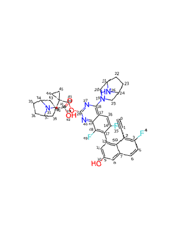 C#Cc1c(F)ccc2cc(O)cc(-c3c(F)cc4c(N5CC6CCC(C5)N6)nc(OCC5(CN6C7CCC6CC(C(=O)O)C7)CC5)nc4c3F)c12